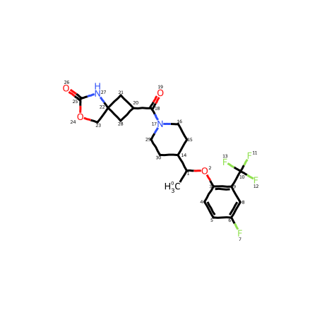 CC(Oc1ccc(F)cc1C(F)(F)F)C1CCN(C(=O)C2CC3(COC(=O)N3)C2)CC1